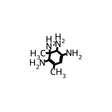 CC1=C(N)C(C)(N)C(N)C(N)=C1